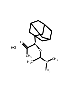 CC(=O)N(OC(C)N(C)C)C12CC3CC(CC(C3)C1)C2.Cl